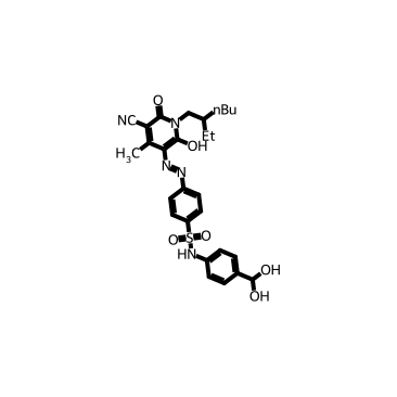 CCCCC(CC)Cn1c(O)c(/N=N/c2ccc(S(=O)(=O)Nc3ccc(C(O)O)cc3)cc2)c(C)c(C#N)c1=O